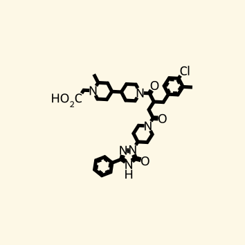 Cc1cc(CC(CC(=O)N2CCC(n3nc(-c4ccccc4)[nH]c3=O)CC2)C(=O)N2CCC(C3CCN(CC(=O)O)C(C)C3)CC2)ccc1Cl